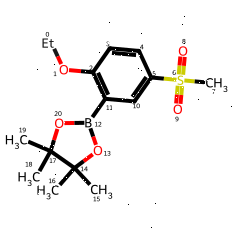 CCOc1ccc(S(C)(=O)=O)cc1B1OC(C)(C)C(C)(C)O1